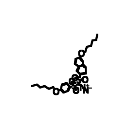 CCCCCCOc1ccc(S(=O)(=O)C(=[N+]=[N-])S(=O)(=O)c2ccc3cc(OCCCCCC)ccc3c2)cc1